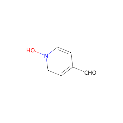 O=CC1=CCN(O)C=C1